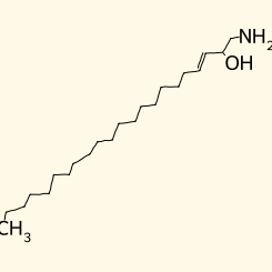 CCCCCCCCCCCCCCCCCCC=CC(O)CN